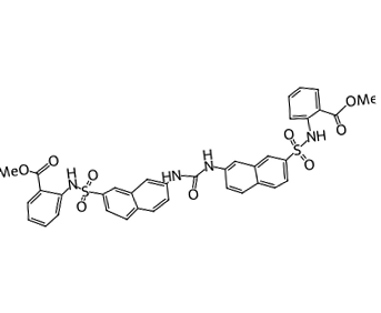 COC(=O)c1ccccc1NS(=O)(=O)c1ccc2ccc(NC(=O)Nc3ccc4ccc(S(=O)(=O)Nc5ccccc5C(=O)OC)cc4c3)cc2c1